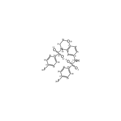 O=S(=O)(Nc1ccc2c(c1)N(S(=O)(=O)c1ccc(F)cc1)CCO2)c1ccc(F)cc1